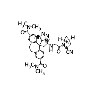 CN(C)C(=O)c1ccc2c(c1)CCc1cc(C(=O)N(C)C)ccc1C2(CC1(NCC(=O)N2[C@H](C#N)C[C@@H]3C[C@@H]32)CC1)c1nnn[nH]1